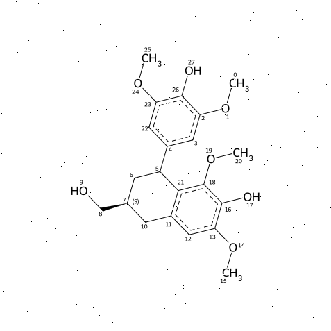 COc1cc(C2C[C@H](CO)Cc3cc(OC)c(O)c(OC)c32)cc(OC)c1O